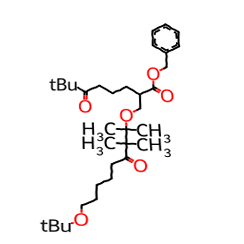 CC(C)(C)OCCCCCC(=O)C(C)(C)C(C)(C)OCC(CCCC(=O)C(C)(C)C)C(=O)OCc1ccccc1